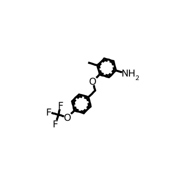 Cc1ccc(N)cc1OCc1ccc(OC(F)(F)F)cc1